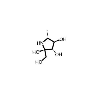 C[C@H]1N[C@@](O)(CO)[C@@H](O)[C@@H]1O